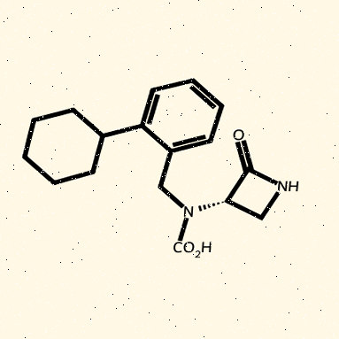 O=C1NC[C@@H]1N(Cc1ccccc1C1CCCCC1)C(=O)O